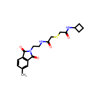 Cc1ccc2c(c1)C(=O)N(CCNC(=O)CSCC(=O)NC1CCC1)C2=O